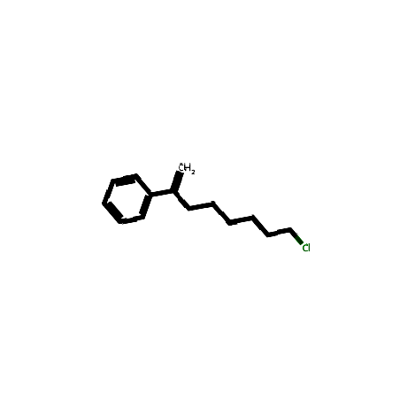 C=C(CCCCCCCl)c1ccccc1